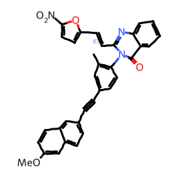 COc1ccc2cc(C#Cc3ccc(-n4c(/C=C/c5ccc([N+](=O)[O-])o5)nc5ccccc5c4=O)c(C)c3)ccc2c1